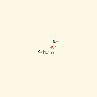 [Ca+2].[Na+].[OH-].[OH-].[OH-]